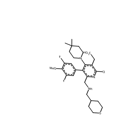 COc1c(F)cc(-c2c(CNCC3CCOCC3)nc(Cl)c(CC(=O)O)c2N2CCC(C)(C)CC2)cc1F